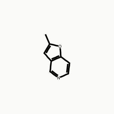 Cc1cc2cnccc2o1